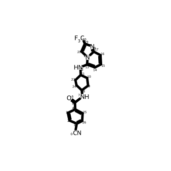 N#Cc1ccc(C(=O)NC2CCC(Nc3cccc4nc(C(F)(F)F)cn34)CC2)cc1